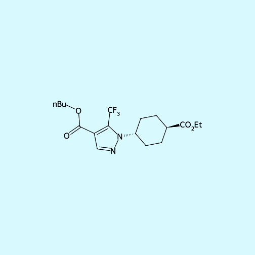 CCCCOC(=O)c1cnn([C@H]2CC[C@H](C(=O)OCC)CC2)c1C(F)(F)F